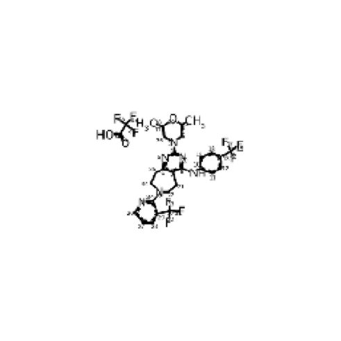 CC1CN(c2nc3c(c(Nc4ccc(C(F)(F)F)cc4)n2)CCN(c2ncccc2C(F)(F)F)CC3)CC(C)O1.O=C(O)C(F)(F)F